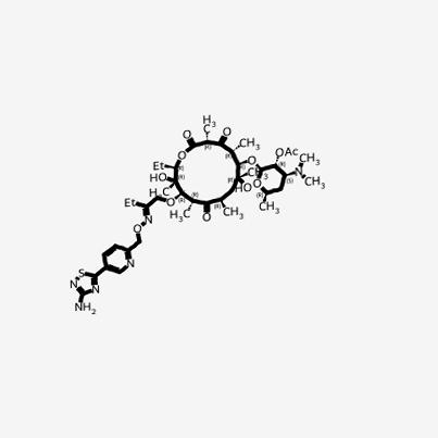 CCC(CO[C@@H]1[C@@H](C)C(=O)[C@H](C)C[C@@](C)(O)[C@H](O[C@@H]2O[C@H](C)C[C@H](N(C)C)[C@H]2OC(C)=O)[C@@H](C)C(=O)[C@@H](C)C(=O)O[C@H](CC)[C@@]1(C)O)=NOCc1ccc(-c2nc(N)ns2)cn1